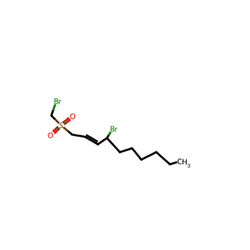 CCCCCCC(Br)/C=C/CS(=O)(=O)CBr